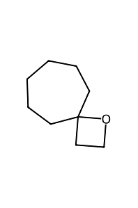 C1CCCC2(CC1)CCO2